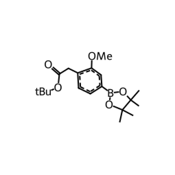 COc1cc(B2OC(C)(C)C(C)(C)O2)ccc1CC(=O)OC(C)(C)C